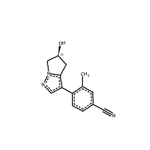 Cc1cc(C#N)ccc1-c1cnn2c1C[C@H](O)C2